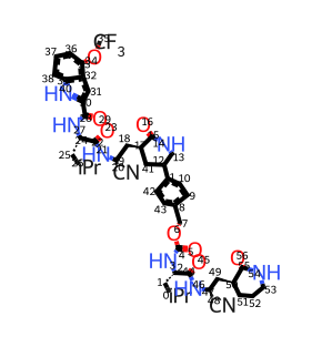 CC(C)C[C@H](NC(=O)OCc1ccc(C2CNC(=O)[C@H](C[C@@H](C#N)NC(=O)[C@H](CC(C)C)NC(=O)c3cc4c(OC(F)(F)F)cccc4[nH]3)C2)cc1)C(=O)N[C@H](C#N)C[C@@H]1CCCNC1=O